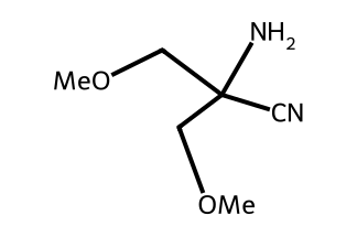 COCC(N)(C#N)COC